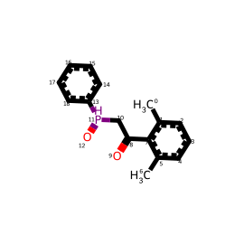 Cc1cccc(C)c1C(=O)C[PH](=O)c1ccccc1